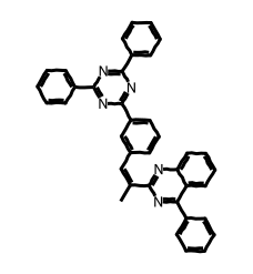 C/C(=C/c1cccc(-c2nc(-c3ccccc3)nc(-c3ccccc3)n2)c1)c1nc(-c2ccccc2)c2ccccc2n1